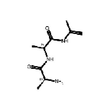 C=C(C)NC(=O)[C@H](C)NC(=O)[C@H](C)N